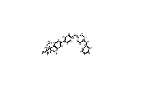 CC(C)(c1ccc(-c2ccc(CN3CCN(Cc4ccncc4)CC3)cc2)cc1)C(F)(F)F